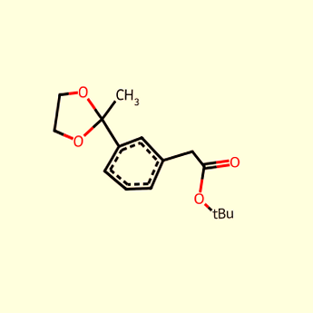 CC(C)(C)OC(=O)Cc1cccc(C2(C)OCCO2)c1